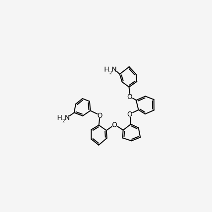 Nc1cccc(Oc2ccccc2Oc2ccccc2Oc2ccccc2Oc2cccc(N)c2)c1